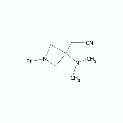 CCN1CC(CC#N)(N(C)C)C1